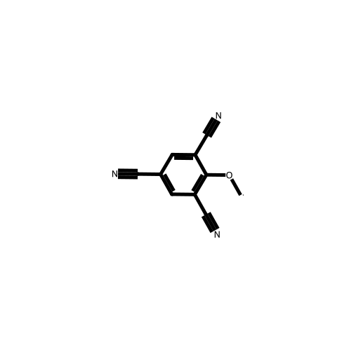 [CH2]Oc1c(C#N)cc(C#N)cc1C#N